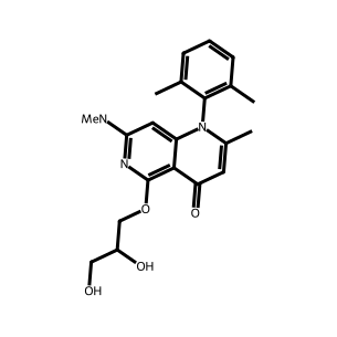 CNc1cc2c(c(OCC(O)CO)n1)c(=O)cc(C)n2-c1c(C)cccc1C